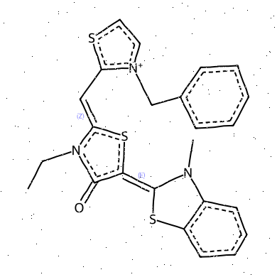 CCn1c(=O)/c(=C2\Sc3ccccc3N2C)s/c1=C\c1scc[n+]1Cc1ccccc1